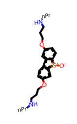 CCCNCCCOc1ccc2c(c1)c1ccc(OCCCNCCC)cc1[s+]2[O-]